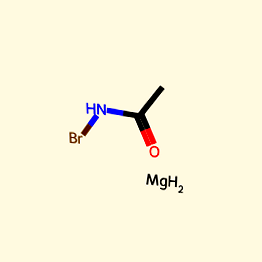 CC(=O)NBr.[MgH2]